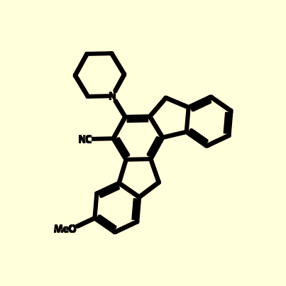 COc1ccc2c(c1)-c1c(C#N)c(N3CCCCC3)c3c(c1C2)-c1ccccc1C3